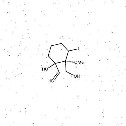 B=CC1(O)CCCC(I)[C@]1(CO)OC